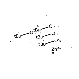 CC(C)(C)[O-].CC(C)(C)[O-].CC(C)(C)[O-].CC(C)(C)[O-].[Zn+4]